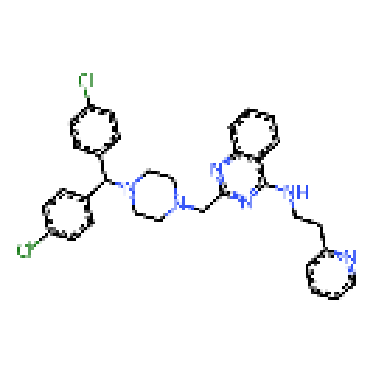 Clc1ccc(C(c2ccc(Cl)cc2)N2CCN(Cc3nc(NCCc4ccccn4)c4ccccc4n3)CC2)cc1